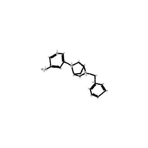 Nc1cncc(N2CC3CC2CN3Cc2ccccc2)c1